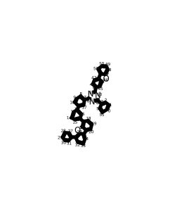 c1ccc(-c2nc(-c3cccc(-c4cccc(-c5cccc6c5oc5c(-c7ccccc7)cccc56)c4)c3)nc(-c3ccc4c(c3)oc3ccccc34)n2)cc1